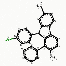 Cc1ccc2c(c1)C(c1ccc(Br)cc1)c1c-2ccc(C)c1-c1ccccc1